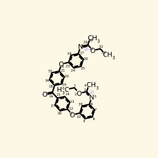 CCO/C(C)=N\c1cccc(Oc2ccc(C(=O)c3ccc(Oc4cccc(/N=C(/C)OCC)c4)cc3)cc2)c1